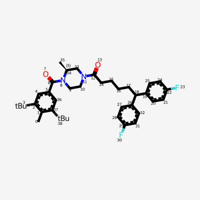 Cc1c(C(C)(C)C)cc(C(=O)N2CCN(C(=O)CCCCC(c3ccc(F)cc3)c3ccc(F)cc3)C[C@@H]2C)cc1C(C)(C)C